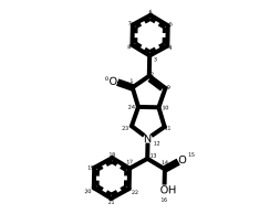 O=C1C(c2ccccc2)=CC2CN(C(C(=O)O)c3ccccc3)CC12